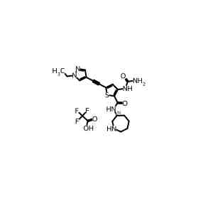 CCn1cc(C#Cc2cc(NC(N)=O)c(C(=O)N[C@H]3CCCCNC3)s2)cn1.O=C(O)C(F)(F)F